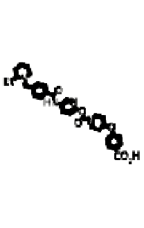 CCC1CCCCN1Cc1ccc(C(=O)Nc2ccc(OC(=O)N3CCC(Oc4ccc(C(=O)O)cc4)CC3)nc2)cc1